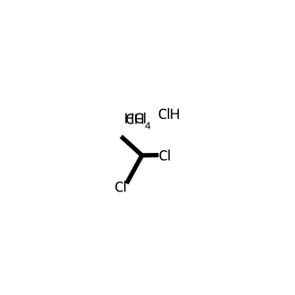 C.CC(Cl)Cl.Cl.Cl